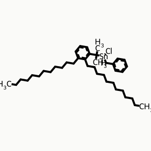 CCCCCCCCCCCCc1cccc([C](C)(C)[SnH]([Cl])[CH2]c2ccccc2)c1CCCCCCCCCCCC